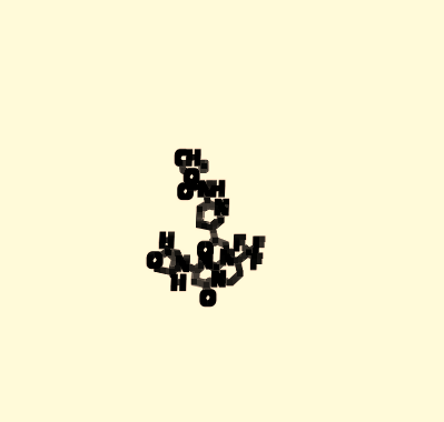 CCOC(=O)Nc1ccc(C(=O)CN2c3nc(N4C[C@@H]5C[C@H]4CO5)cc(=O)n3CCC2C(F)(F)F)cn1